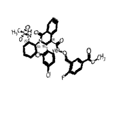 COC(=O)c1ccc(F)c(CONC(=O)[C@@H]2c3ccccc3C(=O)N([C@H]3CCCC[C@@H]3NS(C)(=O)=O)[C@H]2c2ccc(Cl)cc2Cl)c1